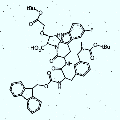 CC(C)(C)OC(=O)CO[C@H]1CCN(C(=O)C(Cc2c[nH]c3ccc(F)cc23)NC(=O)C(Cc2cccc(CNC(=O)OC(C)(C)C)c2)NC(=O)OCC2c3ccccc3-c3ccccc32)[C@@H]1C(=O)O